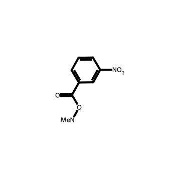 CNOC(=O)c1cccc([N+](=O)[O-])c1